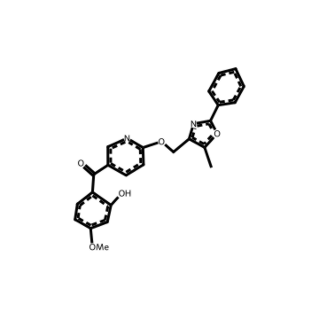 COc1ccc(C(=O)c2ccc(OCc3nc(-c4ccccc4)oc3C)nc2)c(O)c1